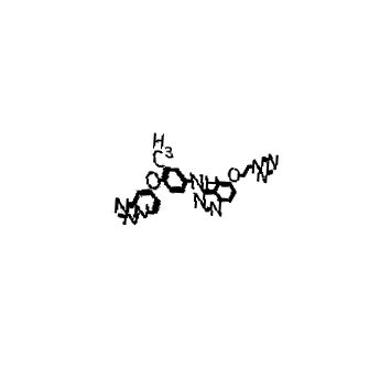 Cc1cc(Nc2ncnc3ccc(OCCn4cncn4)cc23)ccc1Oc1ccn2ncnc2c1